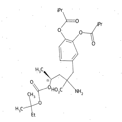 CCC(C)(C)OC(=O)O[C@@H](C)CC(N)(Cc1ccc(OC(=O)C(C)C)c(OC(=O)C(C)C)c1)C(=O)O